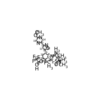 CN=S1(=O)C[C@@](C)(c2cc(-c3cc(-c4cnc(OC)cn4)no3)ccc2F)N=C(N)C1(C)C.O=C(O)C(F)(F)F